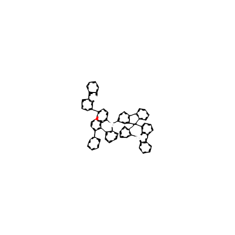 c1ccc(-c2ccccc2-c2ccccc2N(c2ccc(-c3cccc4c3oc3ccccc34)cc2)c2ccc3c(c2)C2(c4ccccc4-3)c3ccccc3-n3c4ccccc4c4cccc2c43)cc1